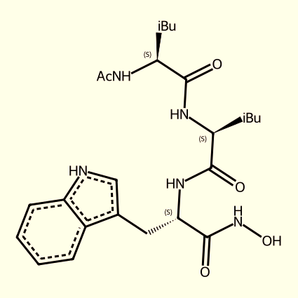 CCC(C)[C@H](NC(C)=O)C(=O)N[C@H](C(=O)N[C@@H](Cc1c[nH]c2ccccc12)C(=O)NO)C(C)CC